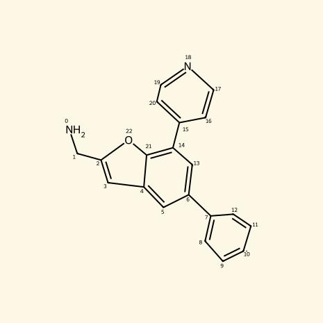 NCc1cc2cc(-c3cc[c]cc3)cc(-c3ccncc3)c2o1